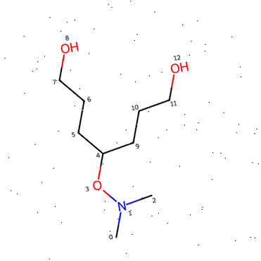 CN(C)OC(CCCO)CCCO